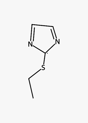 CCS[C]1N=CC=N1